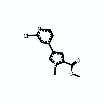 COC(=O)c1cc(-c2ccnc(Cl)c2)cn1C